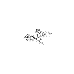 Cc1cc(-c2ccc(C(C)(C)C)cc2)c2c(c1)C(S(=O)(=O)N1CCNCC1)C(C)(C(=O)O)C2